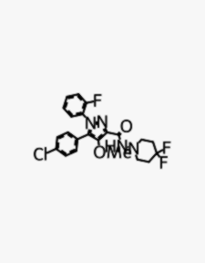 COc1c(C(=O)NN2CCC(F)(F)CC2)nn(-c2ccccc2F)c1-c1ccc(Cl)cc1